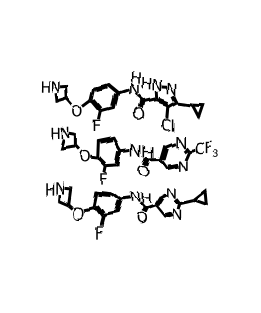 O=C(Nc1ccc(OC2CNC2)c(F)c1)c1[nH]nc(C2CC2)c1Cl.O=C(Nc1ccc(OC2CNC2)c(F)c1)c1cnc(C(F)(F)F)nc1.O=C(Nc1ccc(OC2CNC2)c(F)c1)c1cnc(C2CC2)nc1